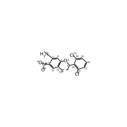 CC(Oc1cc(N)c([N+](=O)[O-])cc1F)c1c(Cl)cccc1Cl